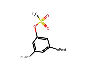 CCCCCc1cc(CCCCC)cc(OS(=O)(=O)C(F)(F)F)c1